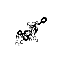 C=CCC[C@@](OCc1ccccc1)(C(=O)NNC(=O)c1nc(NC2(CC=C)CCCC2)c(C(F)(F)F)cc1[N+](=O)[O-])C(F)(F)F